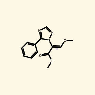 CO/C=C(/C(=O)OC)n1ncnc1-c1ccccc1